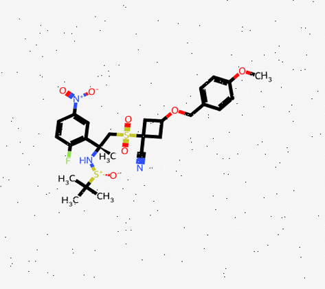 COc1ccc(COC2CC(C#N)(S(=O)(=O)C[C@](C)(N[S@+]([O-])C(C)(C)C)c3cc([N+](=O)[O-])ccc3F)C2)cc1